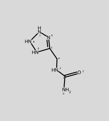 NC(=O)NCC1=NNNN1